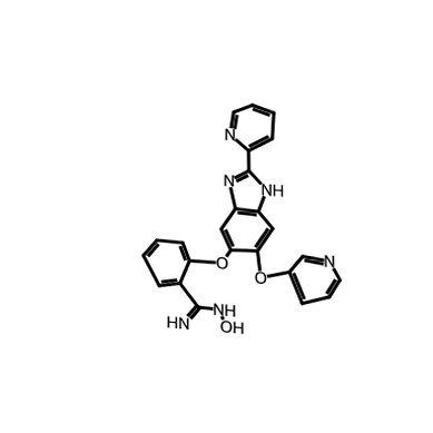 N=C(NO)c1ccccc1Oc1cc2nc(-c3ccccn3)[nH]c2cc1Oc1cccnc1